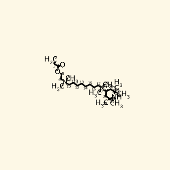 C=CC(=O)OCC[N+](C)(C)CCCCCCCC[N+](C)(C)C1CC(C)(C)NC(C)(C)C1